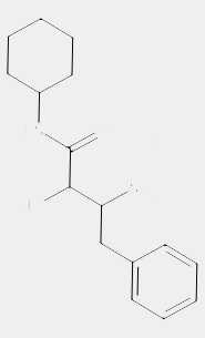 Cl.NC(Cc1ccccc1)C(O)C(=O)NC1CCCCC1